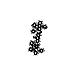 O=c1c2cc3c(cc2sc2cc4c(cc12)B1c2ccccc2N2c5ccccc5B5c6ccccc6N(c6ccccc6)c6cc(c1c2c65)O4)Oc1cc2c4c5c1B3c1ccccc1N5c1ccccc1B4c1ccccc1N2c1ccccc1